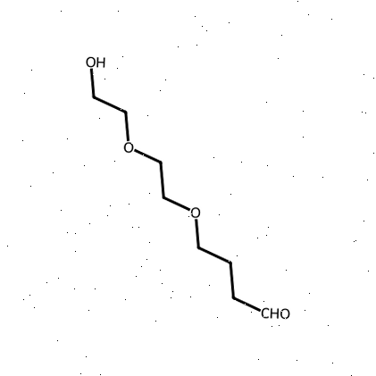 O=CCCCOCCOCCO